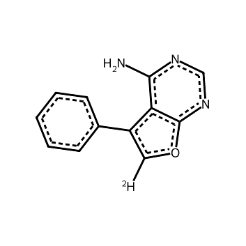 [2H]c1oc2ncnc(N)c2c1-c1ccccc1